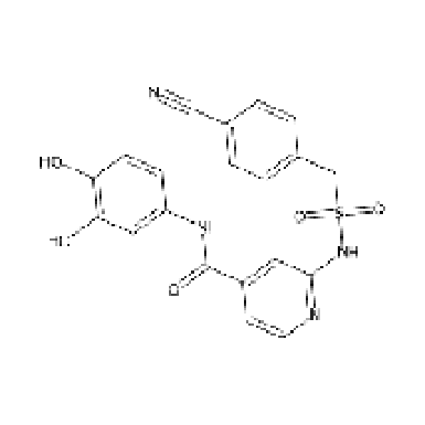 N#Cc1ccc(CS(=O)(=O)Nc2cc(C(=O)Nc3ccc(O)c(O)c3)ccn2)cc1